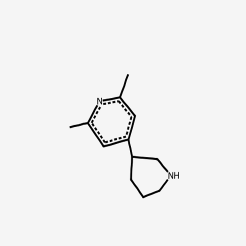 Cc1cc(C2CCCNC2)cc(C)n1